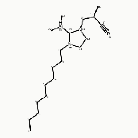 CCCCCCCCCCN1CCN(CC(C)C#N)C1[SiH](C)C